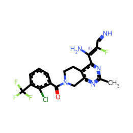 Cc1nc2c(c(/C(N)=C(\F)C=N)n1)CCN(C(=O)c1cccc(C(F)(F)F)c1Cl)C2